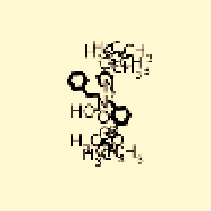 CC1(C)OB(c2cccc([C@@H](CN3CC[C@H](O[Si](C)(C)C(C)(C)C)C3)N(CCc3ccccc3)C(=O)O)c2)OC1(C)C